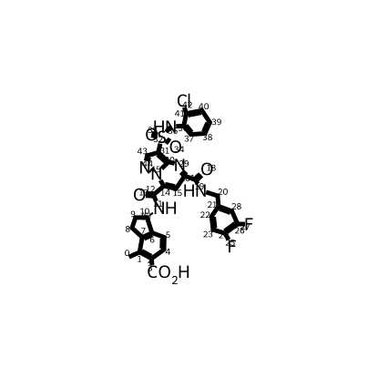 Cc1c(C(=O)O)ccc2c1CC[C@@H]2NC(=O)c1cc(C(=O)NCc2ccc(F)c(F)c2)nc2c(S(=O)(=O)Nc3ccccc3Cl)cnn12